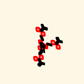 C=C(C)C(=O)OCCO[SiH](OCCOC(=O)C(=C)C)OCCOC(=O)C(=C)C